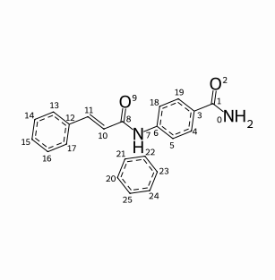 NC(=O)c1ccc(NC(=O)C=Cc2ccccc2)cc1.c1ccccc1